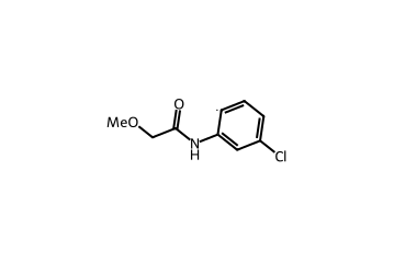 COCC(=O)Nc1[c]ccc(Cl)c1